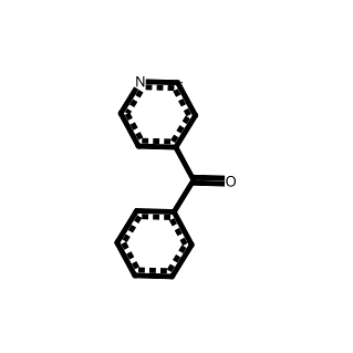 O=C(c1c[c]ncc1)c1ccccc1